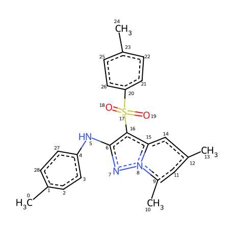 Cc1ccc(Nc2nn3c(C)cc(C)cc3c2S(=O)(=O)c2ccc(C)cc2)cc1